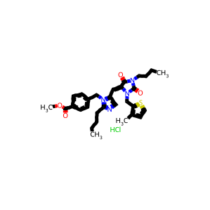 CCCCc1ncc(/C=C2/C(=O)N(CCCC)C(=O)N2Cc2sccc2C)n1Cc1ccc(C(=O)OC)cc1.Cl